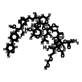 C=C(CC[C@@](C)(OC)[C@H](O[C@@H]1O[C@H](C)C[C@H](N(C)CCc2cn([C@H](CF)[C@H](OC)c3ccc(-c4ccc(C)nc4)cc3)nn2)[C@H]1O)[C@@H](C)C(C(C)C)[C@H]1C[C@@](C)(OC)[C@@H](O)[C@H](C)O1)[C@H](C)[C@](C)(CC[C@H](N)CCOCOC)[C@](C)(OC(N)=O)[C@@H](CC)OC=O